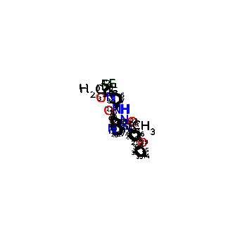 C=C(C(=O)N1CCCC(NC(=O)c2sc3nccc4c3c2NC(=O)N4c2ccc(Oc3ccccc3)cc2C)C1)C(F)(F)F